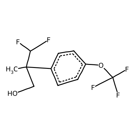 CC(CO)(c1ccc(OC(F)(F)F)cc1)C(F)F